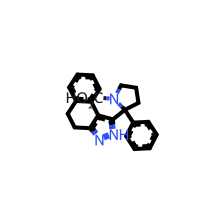 O=C(O)N1CCCC1(c1ccccc1)c1[nH]nc2c1-c1ccccc1CC2